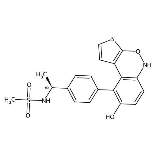 C[C@H](NS(C)(=O)=O)c1ccc(-c2c(O)ccc3c2-c2ccsc2ON3)cc1